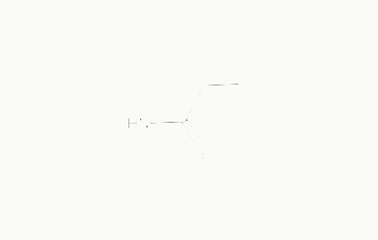 [NH]C(=O)CCl